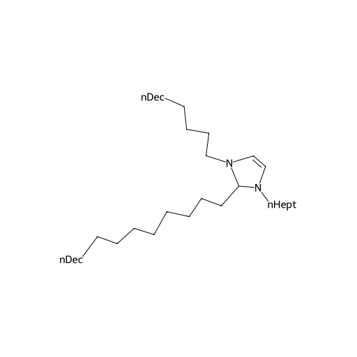 CCCCCCCCCCCCCCCCCCC1N(CCCCCCC)C=CN1CCCCCCCCCCCCCC